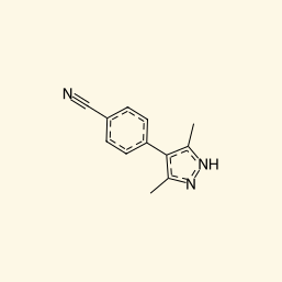 Cc1n[nH]c(C)c1-c1ccc(C#N)cc1